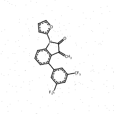 C=C1C(=O)N(c2ccco2)c2cccc(-c3cc(C(F)(F)F)cc(C(F)(F)F)c3)c21